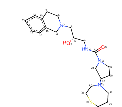 O=C(NC[C@H](O)CN1CCc2ccccc2C1)N1CCC(N2CCCSCC2)C1